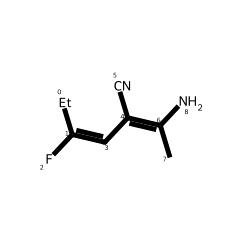 CC/C(F)=C\C(C#N)=C(/C)N